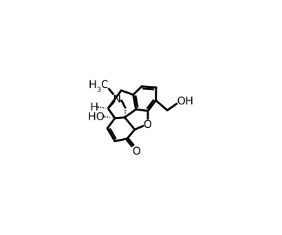 CN1CC[C@]23c4c5ccc(CO)c4OC2C(=O)C=C[C@@]3(O)[C@H]1C5